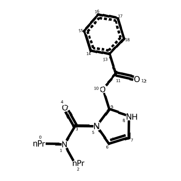 CCCN(CCC)C(=O)N1C=CNC1OC(=O)c1ccccc1